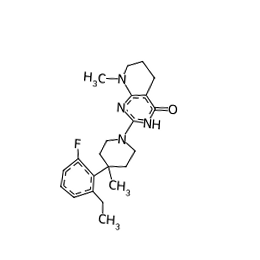 CCc1cccc(F)c1C1(C)CCN(c2nc3c(c(=O)[nH]2)CCCN3C)CC1